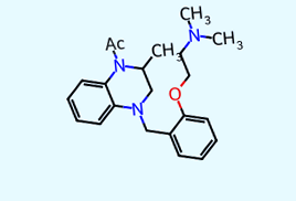 CC(=O)N1c2ccccc2N(Cc2ccccc2OCCN(C)C)CC1C